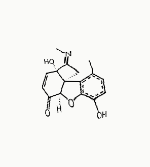 C/N=C1/C[C@]23c4c(C)ccc(O)c4O[C@H]2C(=O)C=C[C@@]13O